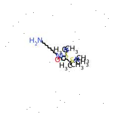 CC(C)C(CCC1CCC(C(=O)NCCCCCCCCCCCCN)CC1SCCN(C)C)SCCN(C)C